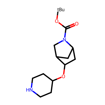 CC(C)(C)OC(=O)N1CC2CC1CC2OC1CCNCC1